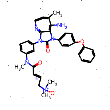 CC1=C=CN=c2c(n(-c3ccc(Oc4ccccc4)cc3)c(=O)n2-c2cccc(N(C)C(=O)/C=C/C[N+](C)(C)[O-])c2)=C1N